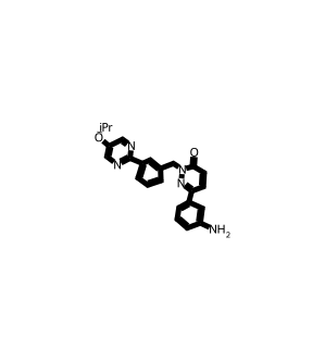 CC(C)Oc1cnc(-c2cccc(Cn3nc(-c4cccc(N)c4)ccc3=O)c2)nc1